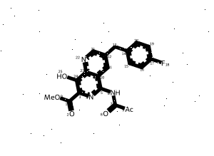 COC(=O)c1nc(NC(=O)C(C)=O)c2cc(Cc3ccc(F)cc3)cnc2c1O